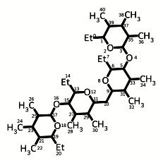 CCC1OC(OC2C(CC)OC(CC3OC(CC)C(OC4OC(CC)C(C)C(C)C4C)C(C)C3C)C(C)C2C)C(C)C(C)C1C